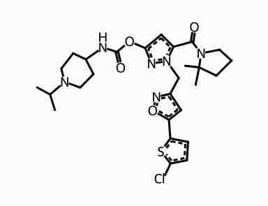 CC(C)N1CCC(NC(=O)Oc2cc(C(=O)N3CCCC3(C)C)n(Cc3cc(-c4ccc(Cl)s4)on3)n2)CC1